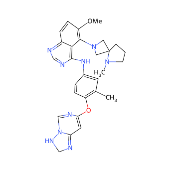 COc1ccc2ncnc(Nc3ccc(OC4=CC5=NCNN5C=N4)c(C)c3)c2c1N1CC2(CCCN2C)C1